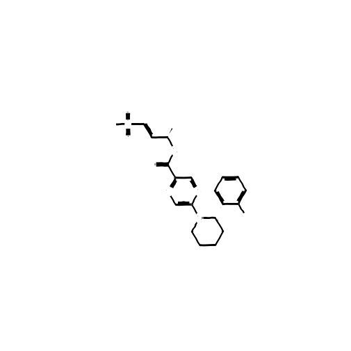 C[C@H](/C=C/S(C)(=O)=O)NC(=O)c1cnc(N2CCCC[C@H]2c2ccccc2Cl)cn1